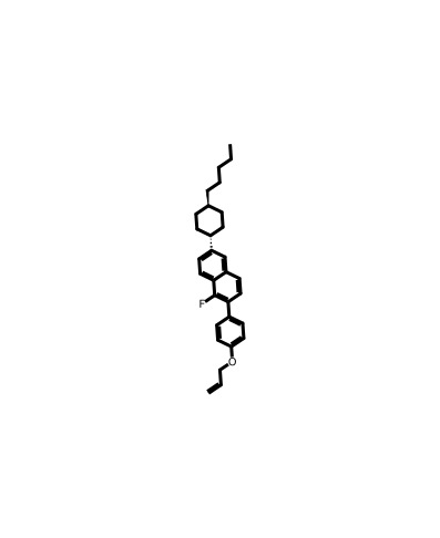 C=CCOc1ccc(-c2ccc3cc([C@H]4CC[C@H](CCCCC)CC4)ccc3c2F)cc1